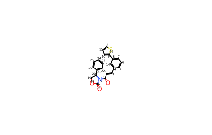 O=C(C=Cc1cccc(-c2cccs2)c1)N1C(=O)OCC1c1ccccc1